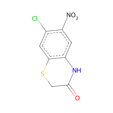 O=C1CSc2cc(Cl)c([N+](=O)[O-])cc2N1